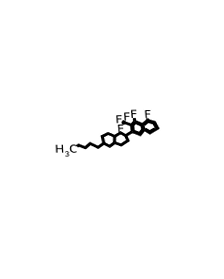 CCCCCC1CCC2CC(c3cc4cccc(F)c4c(F)c3C(F)(F)F)CCC2C1